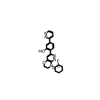 Oc1cc(-c2cccnn2)ccc1-c1cc2c(nn1)N([C@@H]1CCCC[C@@H]1F)CCO2